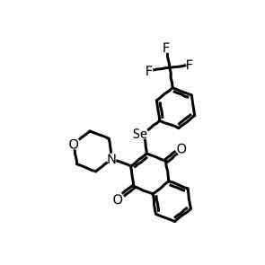 O=C1C([Se]c2cccc(C(F)(F)F)c2)=C(N2CCOCC2)C(=O)c2ccccc21